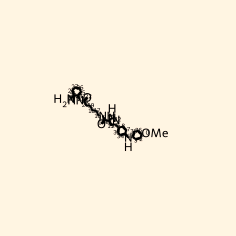 COc1ccc(Nc2ccc(-c3cc(C(=O)NCCCCCC(=O)Nc4ccccc4N)[nH]n3)cc2)cc1